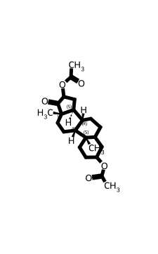 CC(=O)OC1CC[C@@]2(C)C(CC[C@@H]3[C@H]2CC[C@]2(C)C(=O)C(OC(C)=O)C[C@@H]32)C1